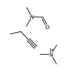 C#CCC.CN(C)C=O.C[SiH](C)C